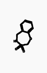 O=S1(=O)COc2ccccc2CN1